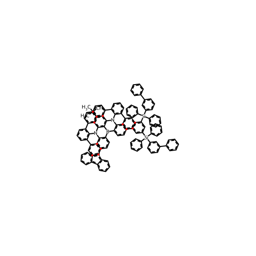 CC(C)(C)c1cc2c3c(c1)N(c1c(-c4ccccc4)cccc1-c1ccccc1)c1cc(-n4c5ccccc5c5ccccc54)ccc1B3c1ccc(-c3cc([Si](c4ccccc4)(c4ccccc4)c4cccc(-c5ccccc5)c4)cc([Si](c4ccccc4)(c4ccccc4)c4cccc(-c5ccccc5)c4)c3)cc1N2c1c(-c2ccccc2)cccc1-c1ccccc1